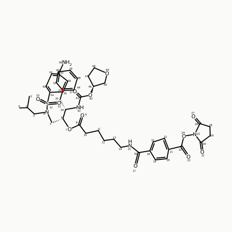 CC(C)CN(C[C@@H](OC(=O)CCCCCNC(=O)c1ccc(C(=O)ON2C(=O)CCC2=O)cc1)[C@H](Cc1ccccc1)NC(=O)O[C@H]1CCOC1)S(=O)(=O)c1ccc(N)cc1